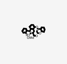 CCOC(Cc1c(Cc2ccccc2F)cccc1ON1CCOc2ccccc21)C(=O)OC